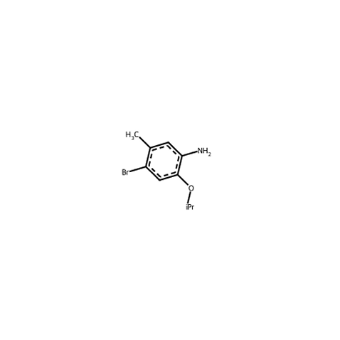 Cc1cc(N)c(OC(C)C)cc1Br